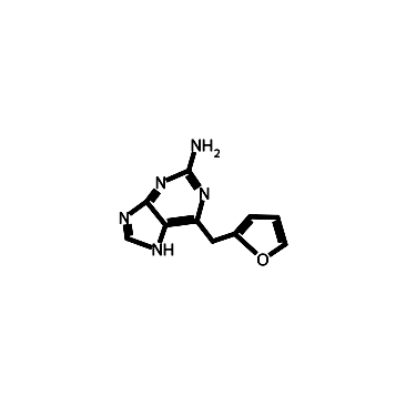 Nc1nc(Cc2ccco2)c2[nH]cnc2n1